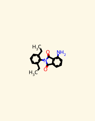 CCc1cccc(CC)c1N1C(=O)c2cccc(N)c2C1=O